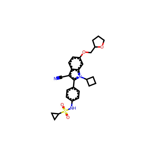 N#Cc1c(-c2ccc(NS(=O)(=O)C3CC3)cc2)n(C2CCC2)c2cc(OCC3CCCO3)ccc12